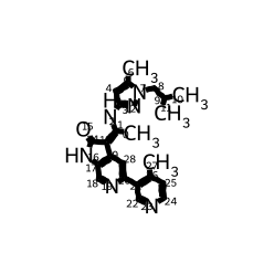 C/C(Nc1cc(C)n(CC(C)C)n1)=C1/C(=O)Nc2cnc(-c3cnccc3C)cc21